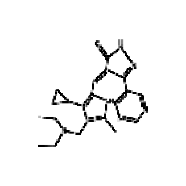 CCN(CC)Cc1c(C)[nH]c(/C=C2/C(=O)NN=C2c2cncnc2)c1C1CC1